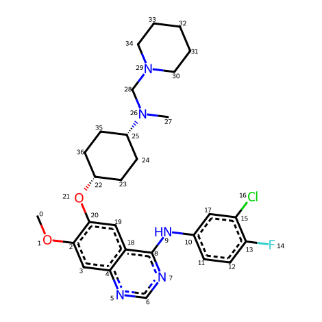 COc1cc2ncnc(Nc3ccc(F)c(Cl)c3)c2cc1O[C@H]1CC[C@@H](N(C)CN2CCCCC2)CC1